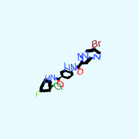 O=C(N[C@H]1CC[C@H](C(=O)Nc2ccc(F)cc2Cl)CC1)c1cc2ncc(Br)cn2n1